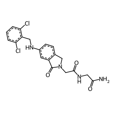 NC(=O)CNC(=O)CN1Cc2ccc(NCc3c(Cl)cccc3Cl)cc2C1=O